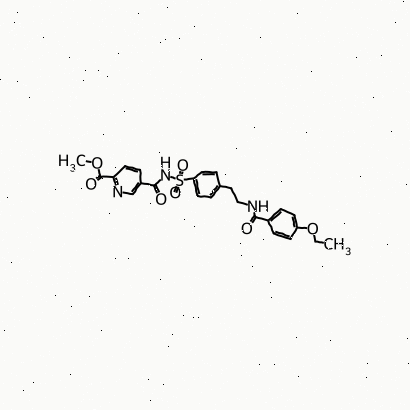 CCOc1ccc(C(=O)NCCc2ccc(S(=O)(=O)NC(=O)c3ccc(C(=O)OC)nc3)cc2)cc1